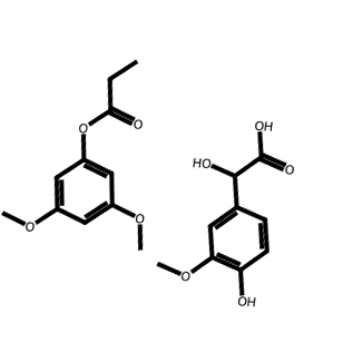 CCC(=O)Oc1cc(OC)cc(OC)c1.COc1cc(C(O)C(=O)O)ccc1O